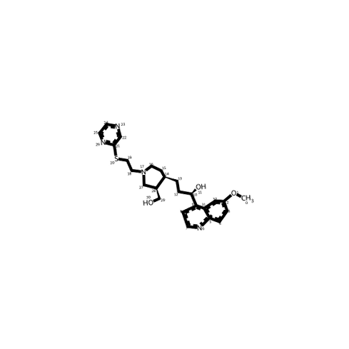 COc1ccc2nccc([C@H](O)CC[C@@H]3CCN(CCSc4cnccn4)C[C@@H]3CO)c2c1